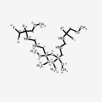 COCC(F)(F)NCNC[Si](OC)(OC)O[Si](CNCNC(F)(COC)C(F)F)(OC)OC